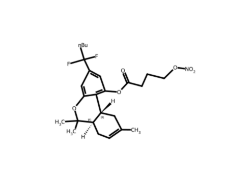 CCCCC(F)(F)c1cc(OC(=O)CCCO[N+](=O)[O-])c2c(c1)OC(C)(C)[C@@H]1CC=C(C)C[C@@H]21